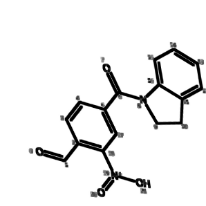 O=Cc1ccc(C(=O)N2CCc3ccccc32)cc1[N+](=O)O